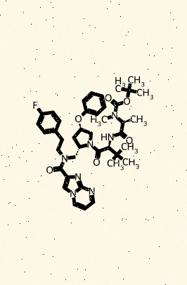 C[C@@H](C(=O)N[C@H](C(=O)N1C[C@@H](Oc2ccccc2)C[C@H]1CN(CCc1ccc(F)cc1)C(=O)c1cn2cccnc2n1)C(C)(C)C)N(C)C(=O)OC(C)(C)C